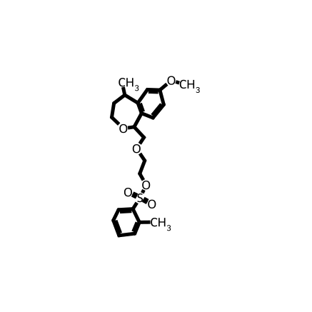 COc1ccc2c(c1)C(C)CCOC2COCCOS(=O)(=O)c1ccccc1C